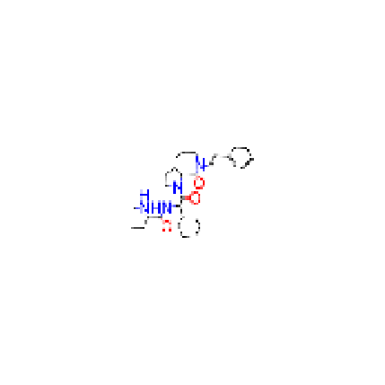 CCC(NC)C(=O)NC(C(=O)N1CCC2CCCN(C=Cc3ccccc3)C(=O)C21)C1CCCCC1